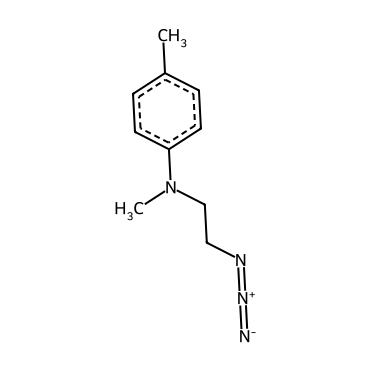 Cc1ccc(N(C)CCN=[N+]=[N-])cc1